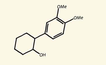 COc1ccc(C2CCCCC2O)cc1OC